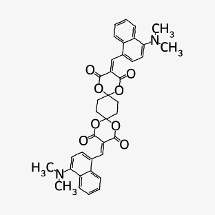 CN(C)c1ccc(C=C2C(=O)OC3(CCC4(CC3)OC(=O)C(=Cc3ccc(N(C)C)c5ccccc35)C(=O)O4)OC2=O)c2ccccc12